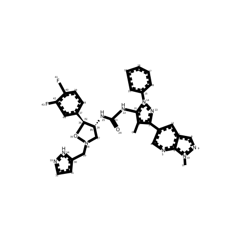 Cc1c(-c2cnc3c(cnn3C)c2)nn(-c2ccccc2)c1NC(=O)N[C@@H]1CN(Cc2ccn[nH]2)O[C@H]1c1ccc(F)c(F)c1